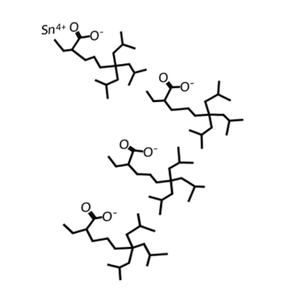 CCC(CCCC(CC(C)C)(CC(C)C)CC(C)C)C(=O)[O-].CCC(CCCC(CC(C)C)(CC(C)C)CC(C)C)C(=O)[O-].CCC(CCCC(CC(C)C)(CC(C)C)CC(C)C)C(=O)[O-].CCC(CCCC(CC(C)C)(CC(C)C)CC(C)C)C(=O)[O-].[Sn+4]